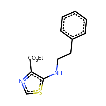 CCOC(=O)c1ncsc1NCCc1ccccc1